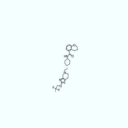 CC(F)(F)COc1nc2c(s1)CCN(CC[C@H]1CC[C@H](NC(=O)c3cccc4c3CCCO4)CC1)C2